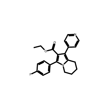 CCOC(=O)c1c(-c2ccncc2)c2n(c1-c1ccc(F)cc1)CCCC2